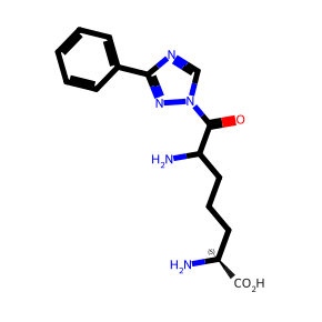 NC(CCC[C@H](N)C(=O)O)C(=O)n1cnc(-c2ccccc2)n1